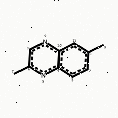 Cc1ccc2nc(C)[c]nc2c1